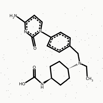 CCN(Cc1ccc(-n2ccc(N)nc2=O)cc1)[C@H]1CC[C@H](NC(=O)O)CC1